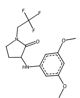 COc1cc(NC2CCN(CC(F)(F)F)C2=O)cc(OC)c1